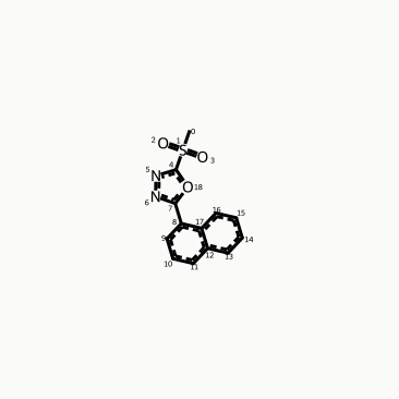 CS(=O)(=O)c1nnc(-c2cccc3ccccc23)o1